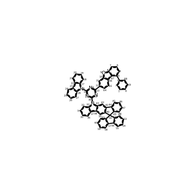 c1ccc(-c2cccc3oc4cc(-c5nc(-n6c7ccccc7c7ccccc76)nc(-n6c7ccccc7c7cc8c(cc76)-c6ccccc6C86c7ccccc7-c7ccccc76)n5)ccc4c23)cc1